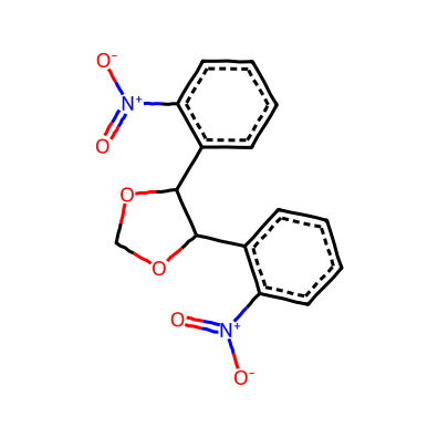 O=[N+]([O-])c1ccccc1C1OCOC1c1ccccc1[N+](=O)[O-]